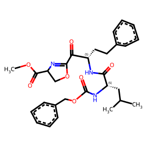 COC(=O)C1COC(C(=O)[C@H](CCc2ccccc2)NC(=O)[C@H](CC(C)C)NC(=O)OCc2ccccc2)=N1